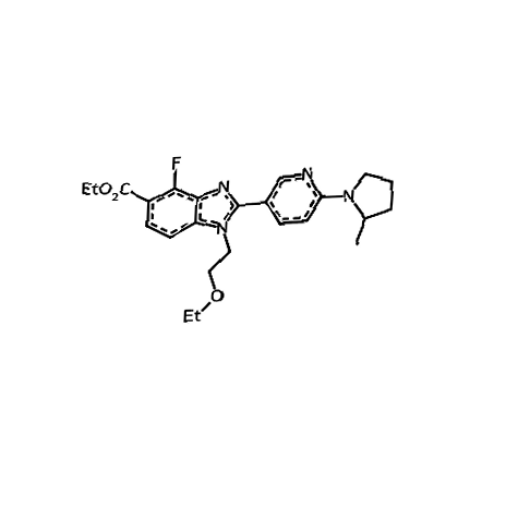 CCOCCn1c(-c2ccc(N3CCCC3C)nc2)nc2c(F)c(C(=O)OCC)ccc21